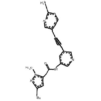 Cn1nc(C(C)(C)C)cc1C(=O)Nc1cncc(C#Cc2cnc(N)nc2)c1